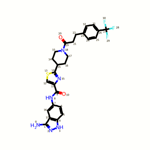 Nc1n[nH]c2ccc(NC(=O)c3csc(C4CCN(C(=O)CCc5ccc(C(F)(F)F)cc5)CC4)n3)cc12